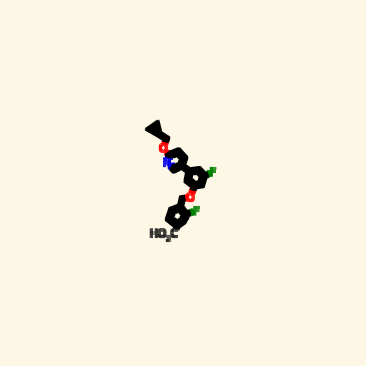 O=C(O)c1ccc(COc2cc(F)cc(-c3ccc(OCC4CC4)nc3)c2)c(F)c1